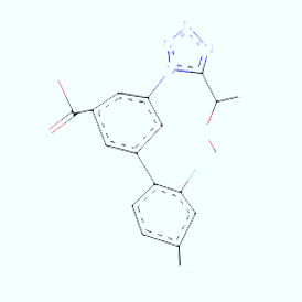 COC(C)c1nnnn1-c1cc(C(=O)O)cc(-c2ccc(C)cc2F)c1